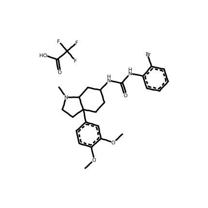 COc1ccc(C23CCC(NC(=O)Nc4ccccc4Br)CC2N(C)CC3)cc1OC.O=C(O)C(F)(F)F